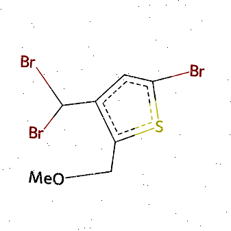 COCc1sc(Br)cc1C(Br)Br